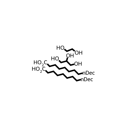 CCCCCCCCCCCCCCCCCC(=O)O.CCCCCCCCCCCCCCCCCC(=O)O.OCC(O)CO.OCCO